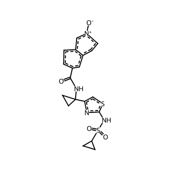 O=C(NC1(c2csc(NS(=O)(=O)C3CC3)n2)CC1)c1ccc2c[n+]([O-])ccc2c1